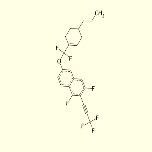 CCCC1CC=C(C(F)(F)Oc2ccc3c(F)c(C#CC(F)(F)F)c(F)cc3c2)CC1